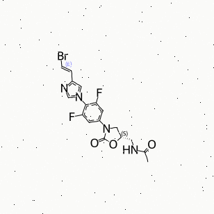 CC(=O)NC[C@H]1CN(c2cc(F)c(-n3cnc(/C=C/Br)c3)c(F)c2)C(=O)O1